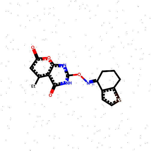 CCc1cc(=O)oc2nc(O/N=C3\CCCc4sccc43)[nH]c(=O)c12